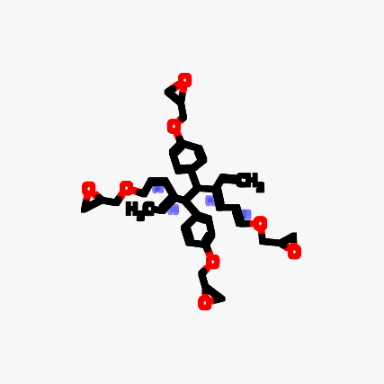 C=C/C(=C\C=C\OCC1CO1)C(c1ccc(OCC2CO2)cc1)C(C(/C=C\COCC1CO1)=C/C)c1ccc(OCC2CO2)cc1